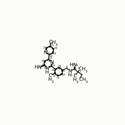 CCC(C)(C)C(=N)NCc1ccc(C)c(-c2nc(-c3ccc(C)cn3)cc(=N)[nH]2)c1